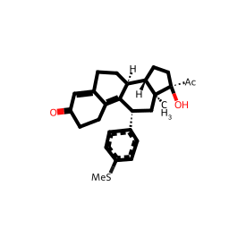 CSc1ccc([C@H]2C[C@@]3(C)[C@@H](CC[C@]3(O)C(C)=O)[C@@H]3CCC4=CC(=O)CCC4=C32)cc1